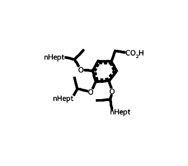 CCCCCCCC(C)Oc1cc(CC(=O)O)cc(OC(C)CCCCCCC)c1OC(C)CCCCCCC